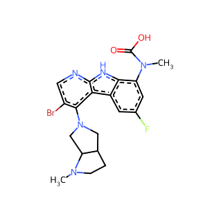 CN(C(=O)O)c1cc(F)cc2c1[nH]c1ncc(Br)c(N3CC4CCN(C)C4C3)c12